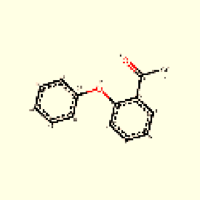 CC(=O)C(=O)c1ccccc1Oc1ccccc1